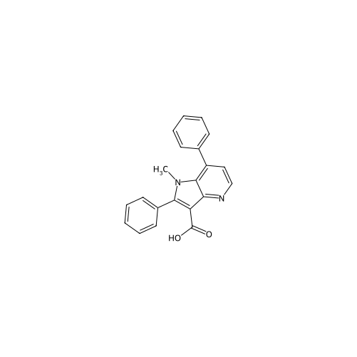 Cn1c(-c2ccccc2)c(C(=O)O)c2nccc(-c3ccccc3)c21